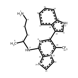 CC(CCCN)Nc1nc(-c2c[nH]c3ccccc23)c(C(F)(F)F)n2ccnc12